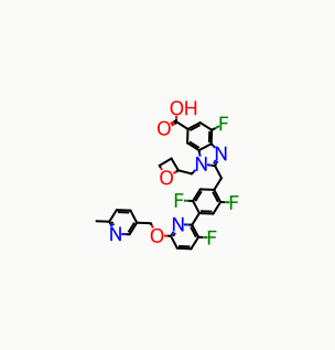 Cc1ccc(COc2ccc(F)c(-c3cc(F)c(Cc4nc5c(F)cc(C(=O)O)cc5n4CC4CCO4)cc3F)n2)cn1